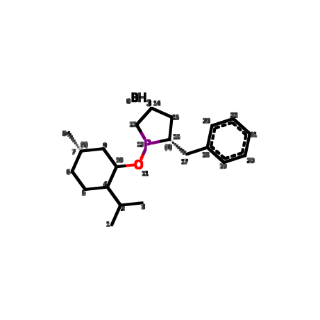 B.CC(C)C1CC[C@H](C)CC1OP1CCC[C@@H]1Cc1ccccc1